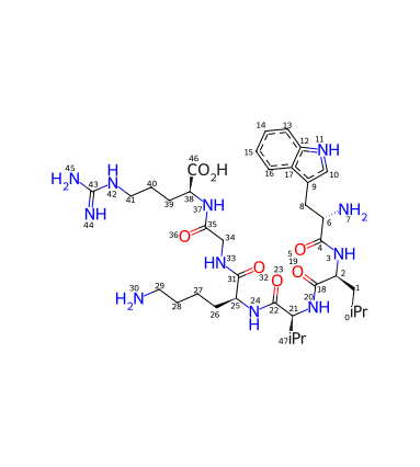 CC(C)C[C@H](NC(=O)[C@@H](N)Cc1c[nH]c2ccccc12)C(=O)N[C@H](C(=O)N[C@@H](CCCCN)C(=O)NCC(=O)N[C@@H](CCCNC(=N)N)C(=O)O)C(C)C